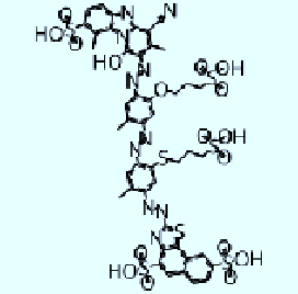 Cc1cc(N=Nc2cc(OCCCS(=O)(=O)O)c(N=Nc3c(C)c(C#N)c4nc5ccc(S(=O)(=O)O)c(C)c5n4c3O)cc2C)c(SCCCS(=O)(=O)O)cc1N=Nc1nc2c(S(=O)(=O)O)cc3ccc(S(=O)(=O)O)cc3c2s1